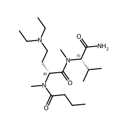 CCCC(=O)N(C)[C@H](CCN(CC)CC)C(=O)N(C)[C@H](C(N)=O)C(C)C